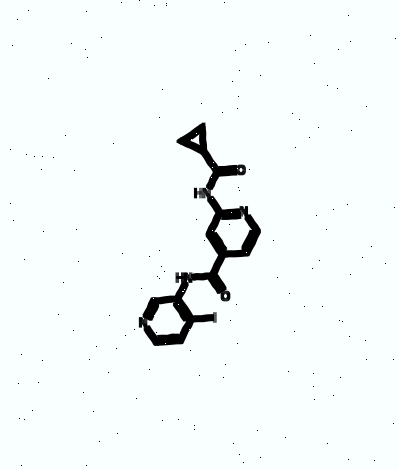 O=C(Nc1cnccc1I)c1ccnc(NC(=O)C2CC2)c1